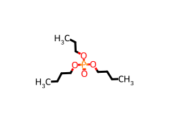 CCCCOP(=O)(OCCC)OCCCC